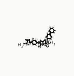 Cc1nc(-c2ccc(N3CC(C[N+](C)(C(=O)O)c4ccc(-c5ccccc5)cc4)OC3=O)cc2)no1